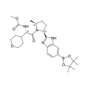 COC(=O)N[C@H](C(=O)N1[C@@H](C)CC[C@H]1c1nc2ccc(B3OC(C)(C)C(C)(C)O3)cc2[nH]1)C1CCOCC1